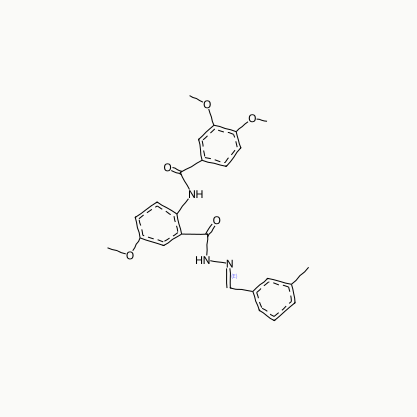 COc1ccc(NC(=O)c2ccc(OC)c(OC)c2)c(C(=O)N/N=C/c2cccc(C)c2)c1